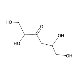 O=C(CC(O)CO)C(O)CO